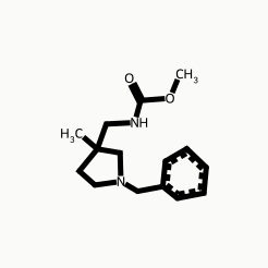 COC(=O)NCC1(C)CCN(Cc2ccccc2)C1